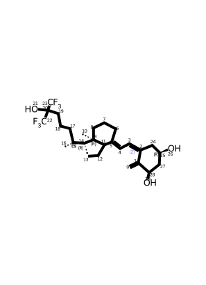 C=C1/C(=C\C=C2CCC[C@@]3(C)C2CC[C@@H]3[C@H](C)CCCC(O)(C(F)(F)F)C(F)(F)F)C[C@@H](O)CC1O